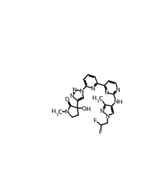 Cc1nn(CC(F)F)cc1Nc1nccc(-c2cccc(-n3cc(C4(O)CCN(C)C4=O)nn3)n2)n1